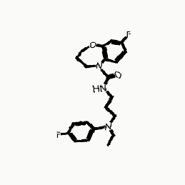 CCN(CCCNC(=O)N1CCCOc2cc(F)ccc21)c1ccc(F)cc1